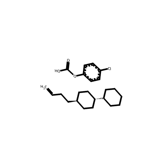 C=CCC[C@H]1CC[C@H](C2CCCCC2)CC1.O=C(O)Oc1ccc(Cl)cc1